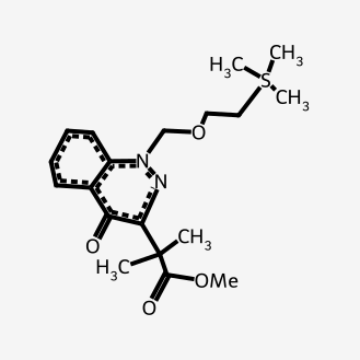 COC(=O)C(C)(C)c1nn(COCCS(C)(C)C)c2ccccc2c1=O